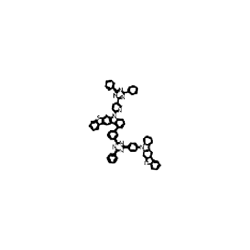 c1ccc(-c2nc(-c3ccccc3)nc(-c3ccc(-n4c5cc6sc7ccccc7c6cc5c5c(-c6cccc(-c7nc(-c8ccccc8)nc(-c8ccc(-n9c%10ccccc%10c%10cc%11c(cc%109)oc9ccccc9%11)cc8)n7)c6)cccc54)nc3)n2)cc1